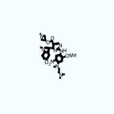 COc1cc(N(C)CCN(C)C)c([N+](=O)[O-])cc1Nc1ncc(C(=O)OC2CN(C)C2)c(-c2cn(C)c3ccccc23)n1